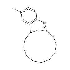 C[n+]1ccc2c(c1)C1CCCCCCCCCC(=N2)C1